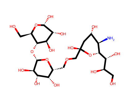 N[C@H]1[C@H]([C@H](O)[C@H](O)CO)O[C@](O)(COC[C@H]2O[C@@H](O[C@H]3[C@H](O)[C@@H](O)[C@@H](O)O[C@@H]3CO)[C@H](O)[C@@H](O)[C@H]2O)C[C@@H]1O